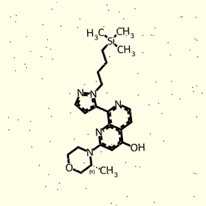 C[C@@H]1COCCN1c1cc(O)c2ccnc(-c3ccnn3CCCC[Si](C)(C)C)c2n1